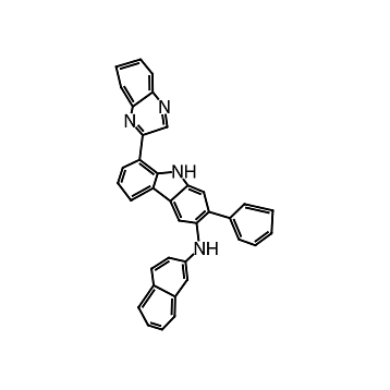 c1ccc(-c2cc3[nH]c4c(-c5cnc6ccccc6n5)cccc4c3cc2Nc2ccc3ccccc3c2)cc1